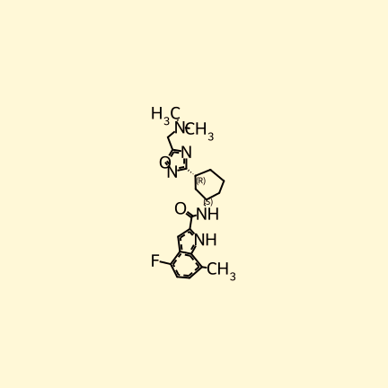 Cc1ccc(F)c2cc(C(=O)N[C@H]3CCC[C@@H](c4noc(CN(C)C)n4)C3)[nH]c12